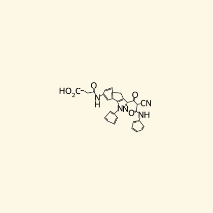 N#CC(C(=O)Nc1ccccc1)C(=O)c1nn(-c2ccccc2)c2c1Cc1ccc(NC(=O)CCC(=O)O)cc1-2